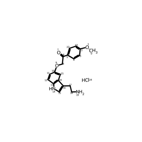 COc1ccc(C(=O)COc2ccc3[nH]cc(CCN)c3c2)cc1.Cl